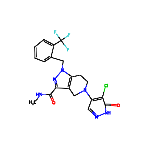 CNC(=O)c1nn(Cc2ccccc2C(F)(F)F)c2c1CN(c1cn[nH]c(=O)c1Cl)CC2